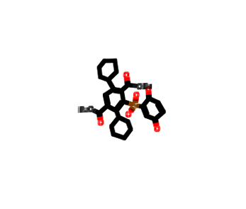 CC(C)COC(=O)c1cc(C2CCCCC2)c(C(=O)OCC(C)C)c(S(=O)(=O)C2=CC(=O)C=CC2=O)c1C1CCCCC1